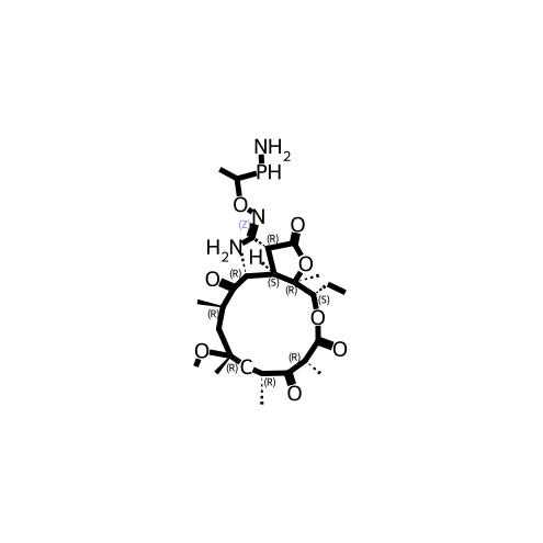 CC[C@@H]1OC(=O)[C@H](C)C(=O)[C@H](C)C[C@](C)(OC)C[C@@H](C)C(=O)[C@H](C)[C@H]2[C@H](/C(N)=N/OC(C)PN)C(=O)O[C@]21C